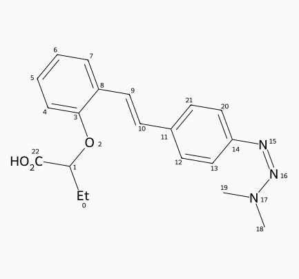 CCC(Oc1ccccc1/C=C/c1ccc(/N=N\N(C)C)cc1)C(=O)O